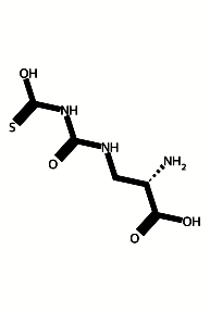 N[C@@H](CNC(=O)NC(O)=S)C(=O)O